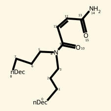 CCCCCCCCCCCCCN(CCCCCCCCCCCCC)C(=O)/C=C\C(N)=O